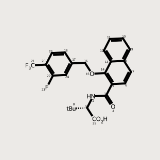 CC(C)(C)[C@H](NC(=O)c1ccc2ccccc2c1OCc1ccc(C(F)(F)F)c(F)c1)C(=O)O